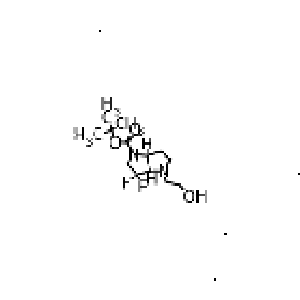 CC(C)(C)OC(=O)N1CC(F)(F)[C@H]2[C@@H]1CCN2CCO